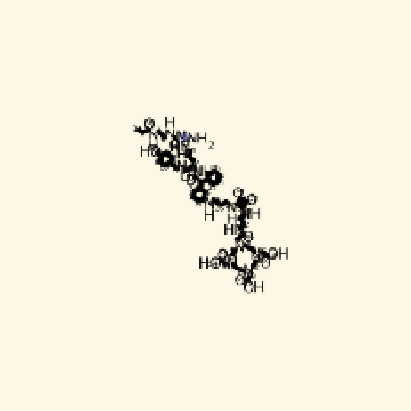 CCC(=O)NCCNC(=O)/N=C(/N)NCCC[C@@H](NC(=O)[C@@H](c1ccccc1)c1cccc(NCCCNc2c(NCCNC(=O)CN3CCN(CC(=O)O)CCN(CC(=O)O)CCN(CC(=O)O)CC3)c(=O)c2=O)c1)C(=O)NCc1ccc(O)cc1